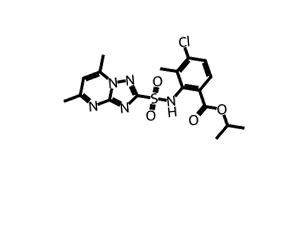 Cc1cc(C)n2nc(S(=O)(=O)Nc3c(C(=O)OC(C)C)ccc(Cl)c3C)nc2n1